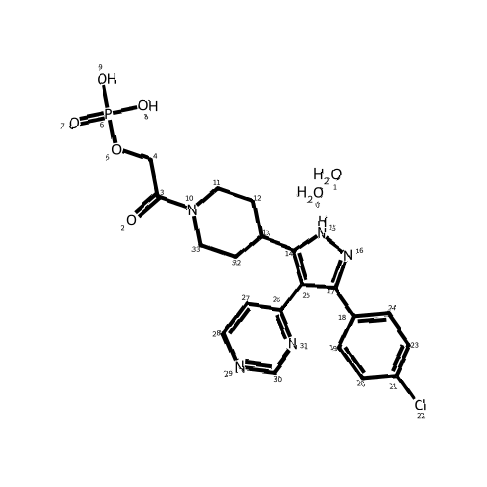 O.O.O=C(COP(=O)(O)O)N1CCC(c2[nH]nc(-c3ccc(Cl)cc3)c2-c2ccncn2)CC1